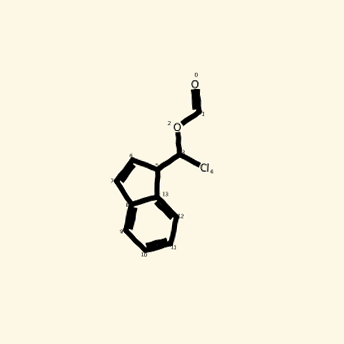 O=COC(Cl)C1C=Cc2ccccc21